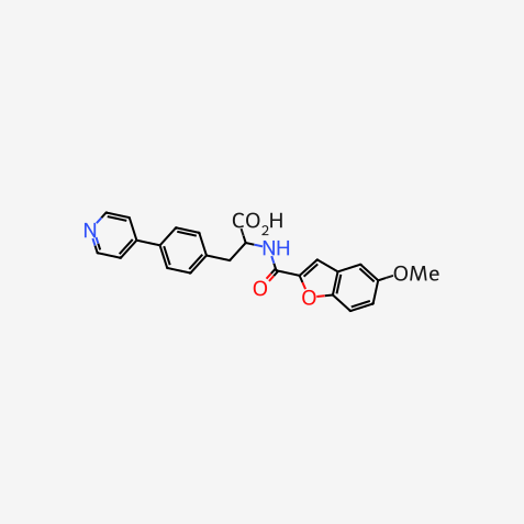 COc1ccc2oc(C(=O)NC(Cc3ccc(-c4ccncc4)cc3)C(=O)O)cc2c1